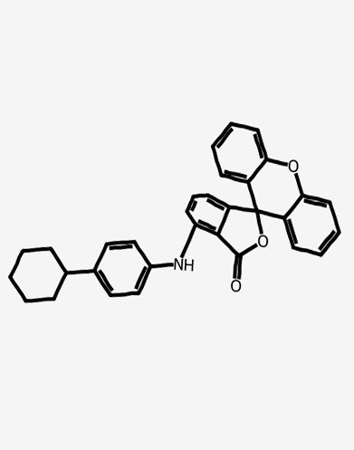 O=C1OC2(c3ccccc3Oc3ccccc32)c2cccc(Nc3ccc(C4CCCCC4)cc3)c21